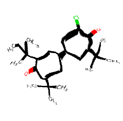 CC(C)(C)C1=CC(=C2C=C(C(C)(C)C)C(=O)C(C(C)(C)C)=C2)C=C(Cl)C1=O